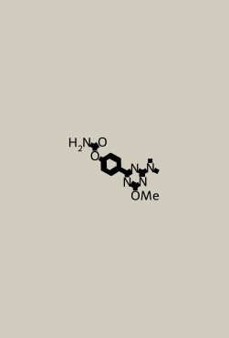 COc1nc(-c2ccc(OC(N)=O)cc2)nc(N(C)C)n1